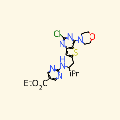 CCOC(=O)c1cnc(NC(Cc2cc3nc(Cl)nc(N4CCOCC4)c3s2)C(C)C)nc1